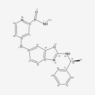 CNC(=O)c1cc(Oc2ccc3nc(N[C@@H](C)c4ccccc4)oc3c2)ccn1